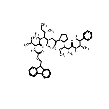 CC[C@H](C)[C@@H]([C@@H](CC(=O)N1CCC[C@H]1C(OC)[C@@H](C)C(=O)N[C@H](C)C(O)c1ccccc1)OC)N(C)C(=O)[C@@H](NC(=O)OCC1c2ccccc2-c2ccccc21)C(C)C